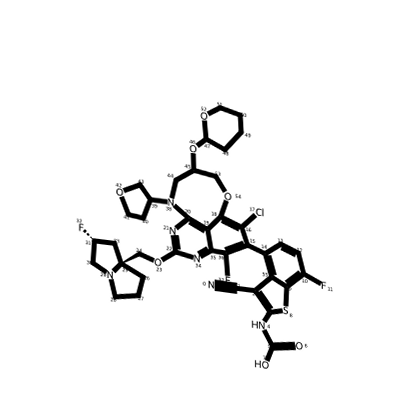 N#Cc1c(NC(=O)O)sc2c(F)ccc(-c3c(Cl)c4c5c(nc(OC[C@@]67CCCN6C[C@H](F)C7)nc5c3F)N(C3CCOC3)CC(OC3CCCCO3)CO4)c12